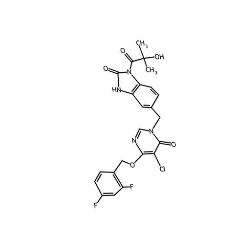 CC(C)(O)C(=O)n1c(=O)[nH]c2cc(Cn3cnc(OCc4ccc(F)cc4F)c(Cl)c3=O)ccc21